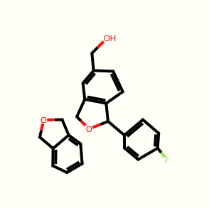 OCc1ccc2c(c1)COC2c1ccc(F)cc1.c1ccc2c(c1)COC2